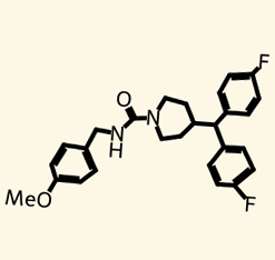 COc1ccc(CNC(=O)N2CCC(C(c3ccc(F)cc3)c3ccc(F)cc3)CC2)cc1